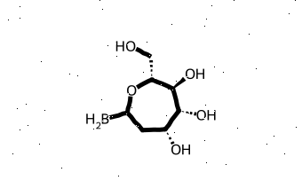 BC1C[C@@H](O)[C@@H](O)[C@H](O)[C@@H](CO)O1